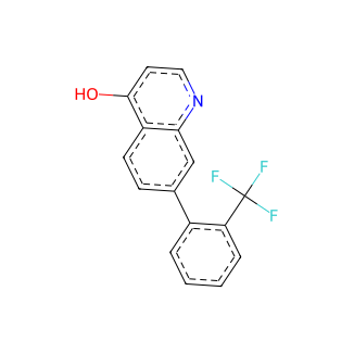 Oc1ccnc2cc(-c3ccccc3C(F)(F)F)ccc12